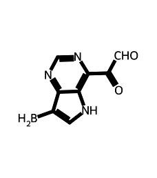 Bc1c[nH]c2c(C(=O)C=O)ncnc12